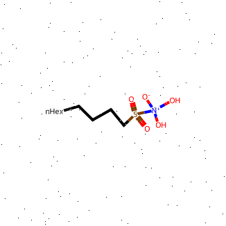 CCCCCCCCCCS(=O)(=O)[N+]([O-])(O)O